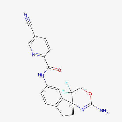 N#Cc1ccc(C(=O)Nc2ccc3c(c2)[C@@]2(CC3)N=C(N)OCC2(F)F)nc1